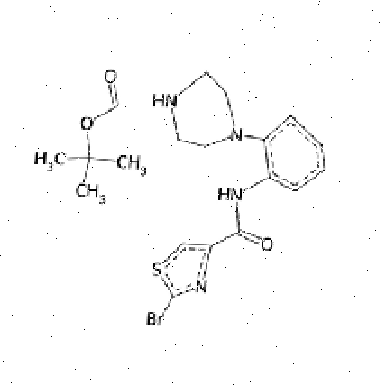 CC(C)(C)OC=O.O=C(Nc1ccccc1N1CCNCC1)c1csc(Br)n1